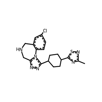 Cc1nsc(C2CCC(c3nnc4n3-c3ccc(Cl)cc3CNC4)CC2)n1